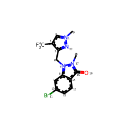 Cn1cc(C(F)(F)F)c(Cn2c3cc(Br)ccc3c(=O)n2C)n1